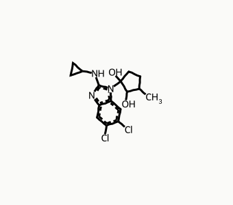 CC1CCC(O)(n2c(NC3CC3)nc3cc(Cl)c(Cl)cc32)C1O